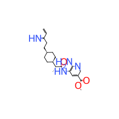 C=CC(=N)CC[C@H]1CC[C@@H]([C@@H](C)C(=O)Nc2cc(C(=O)OC)cnc2N)CC1